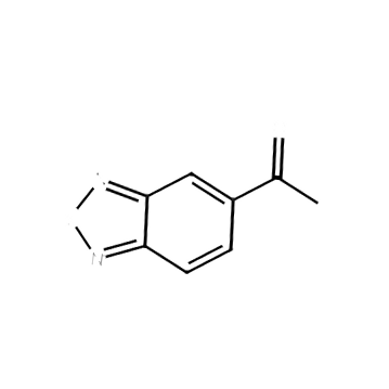 CC(=O)c1ccc2nsnc2c1